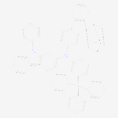 c1ccc(-n2c3ccccc3c3ccc(N(c4ccc5c(c4)C4(c6ccccc6-c6ccccc64)c4ccccc4-5)c4ccc5c(c4)C4(c6ccccc6-5)C5CC6CC(C5)CC4C6)cc32)cc1